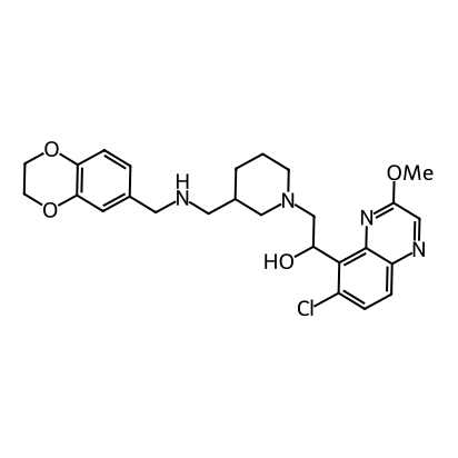 COc1cnc2ccc(Cl)c(C(O)CN3CCCC(CNCc4ccc5c(c4)OCCO5)C3)c2n1